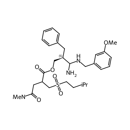 CNC(=O)CC(CS(=O)(=O)CCC(C)C)C(=O)OC[C@@H](Cc1ccccc1)C(N)NCc1cccc(OC)c1